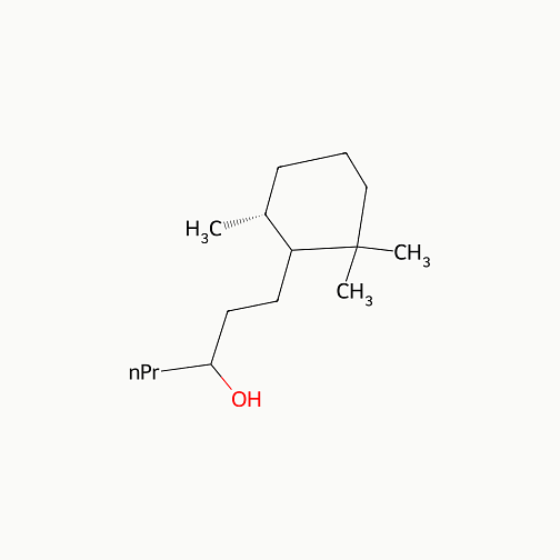 CCCC(O)CCC1[C@H](C)CCCC1(C)C